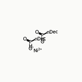 CCCCCCCCCC[PH](=O)[O-].CCCCCCCCCC[PH](=O)[O-].[Ni+2]